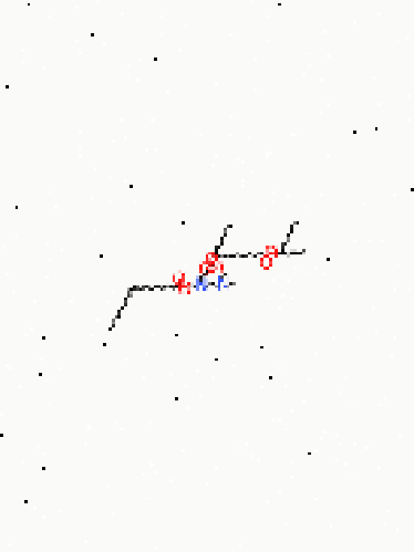 CCCCCCCC/C=C\CCCCCCCC(=O)OCCN(CCCN(CC)CC)CCOC(=O)OC(CCCCCC)CCCCCCCCC(=O)OCC(CCCC)CCCCCC